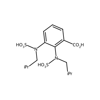 CC(C)CN(c1cccc(C(=O)O)c1N(CC(C)C)S(=O)(=O)O)S(=O)(=O)O